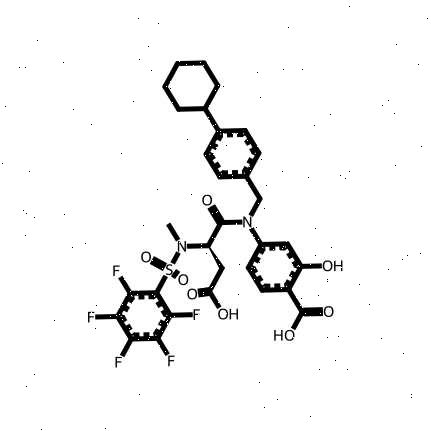 CN([C@H](CC(=O)O)C(=O)N(Cc1ccc(C2CCCCC2)cc1)c1ccc(C(=O)O)c(O)c1)S(=O)(=O)c1c(F)c(F)c(F)c(F)c1F